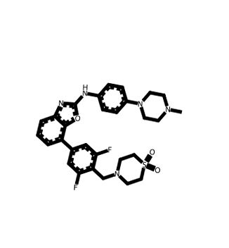 CN1CCN(c2ccc(Nc3nc4cccc(-c5cc(F)c(CN6CCS(=O)(=O)CC6)c(F)c5)c4o3)cc2)CC1